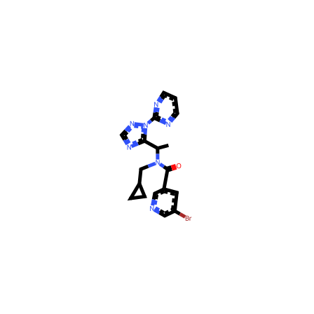 CC(c1ncnn1-c1ncccn1)N(CC1CC1)C(=O)c1cncc(Br)c1